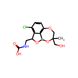 CC1(CO)COc2ccc(Cl)c3c2B(OC3CNC(=O)O)O1